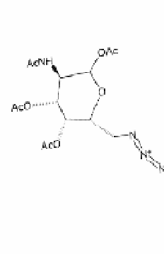 CC(=O)N[C@H]1C(OC(C)=O)O[C@H](CN=[N+]=[N-])[C@H](OC(C)=O)[C@@H]1OC(C)=O